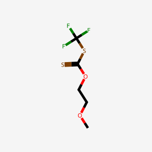 COCCOC(=S)SC(F)(F)F